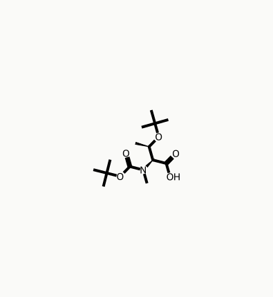 C[C@@H](OC(C)(C)C)[C@@H](C(=O)O)N(C)C(=O)OC(C)(C)C